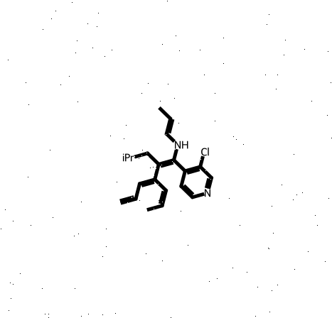 C=C/C=C(\C=C/C)C(/CC(C)C)=C(/N/C=C/C)c1ccncc1Cl